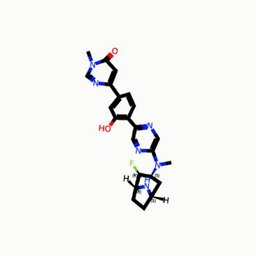 CN(c1cnc(-c2ccc(-c3cc(=O)n(C)cn3)cc2O)cn1)[C@H]1C[C@@H]2CC[C@@H](N2)[C@H]1F